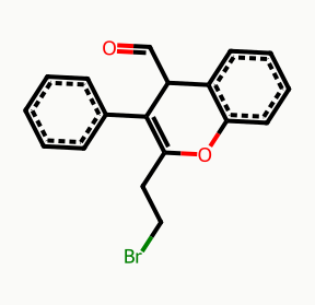 O=CC1C(c2ccccc2)=C(CCBr)Oc2ccccc21